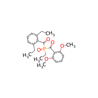 CCc1cccc(CC)c1C(=O)P(=O)(CC)C(=O)c1c(OC)cccc1OC